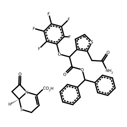 NC(=O)Cc1sccc1C(Oc1c(F)c(F)c(F)c(F)c1F)C(=O)OC(c1ccccc1)c1ccccc1.O=C(O)C1=CCS[C@H]2CC(=O)N12